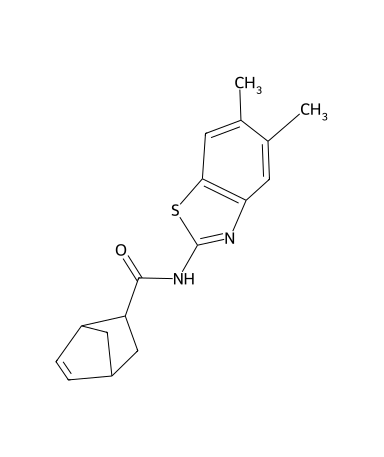 Cc1cc2nc(NC(=O)C3CC4C=CC3C4)sc2cc1C